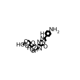 Nc1ccc(-c2cn3c(=O)c4nc(Br)n([C@@H]5OC6COP(O)O[C@H]6[C@@H]5O)c4nc3[nH]2)cc1